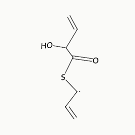 C=C[CH]SC(=O)C(O)C=C